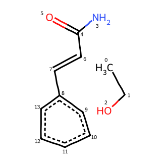 CCO.NC(=O)C=Cc1ccccc1